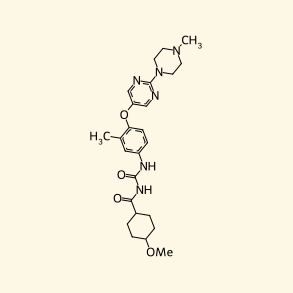 COC1CCC(C(=O)NC(=O)Nc2ccc(Oc3cnc(N4CCN(C)CC4)nc3)c(C)c2)CC1